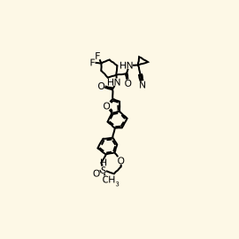 C[SH]1(=O)CCOc2cc(-c3ccc4cc(C(=O)NC5(C(=O)NC6(C#N)CC6)CCC(F)(F)CC5)oc4c3)ccc2C1